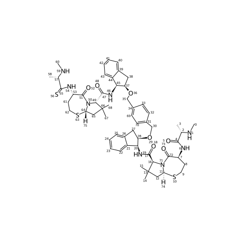 CN[C@@H](C)C(=O)N[C@H]1CCS[C@H]2CC(C)(C)[C@@H](C(=O)N[C@H]3c4ccccc4C[C@H]3OCc3ccc(CO[C@@H]4Cc5ccccc5[C@@H]4NC(=O)[C@H]4N5C(=O)[C@@H](NC(=S)[C@H](C)NC)CCS[C@H]5CC4(C)C)cc3)N2C1=O